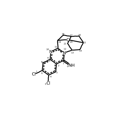 N=c1c2cc(Cl)c(Cl)cc2nc2n1C1CC3CC(CC2C3)C1